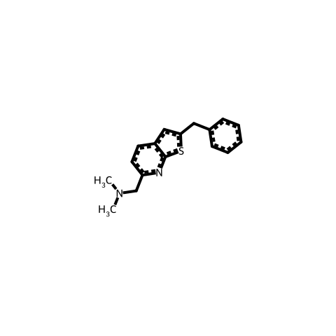 CN(C)Cc1ccc2cc(Cc3ccccc3)sc2n1